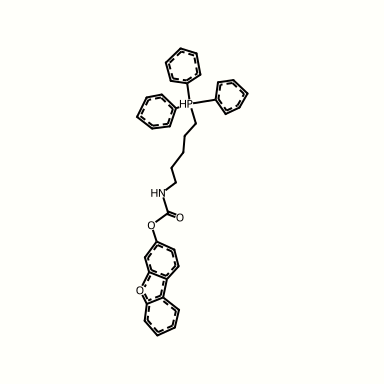 O=C(NCCCCC[PH](c1ccccc1)(c1ccccc1)c1ccccc1)Oc1ccc2c(c1)oc1ccccc12